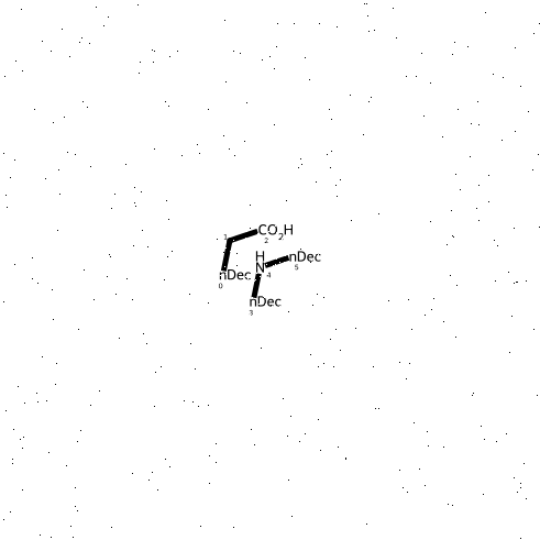 CCCCCCCCCCCC(=O)O.CCCCCCCCCCNCCCCCCCCCC